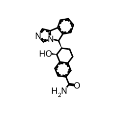 NC(=O)c1ccc2c(c1)CC[C@H](C1c3ccccc3-c3cncn31)[C@@H]2O